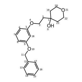 OC1(CCOc2cccc(OCc3ccccc3)c2)CCOCC1